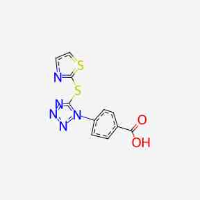 O=C(O)c1ccc(-n2nnnc2Sc2nccs2)cc1